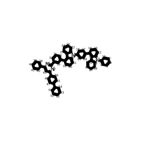 C1=Cc2c(n(-c3ccccc3)c3cccc(-c4ccc(-n5c6ccccc6c6c(-c7cccc(-c8nc(-c9ccccc9)cc(-c9ccc(-c%10ccccc%10)cc9)n8)c7)cccc65)cc4)c23)CC1